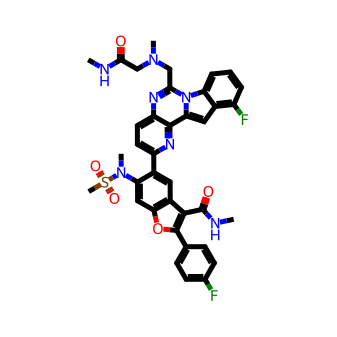 CNC(=O)CN(C)Cc1nc2ccc(-c3cc4c(C(=O)NC)c(-c5ccc(F)cc5)oc4cc3N(C)S(C)(=O)=O)nc2c2cc3c(F)cccc3n12